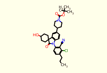 CCCc1ccc(N2C(=O)C3(CCC(O)CC3)c3cc(C4CCN(C(=O)OC(C)(C)C)CC4)ccc32)c(C#N)c1Cl